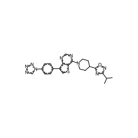 CC(C)c1noc(C2CCN(c3ncnc4c(-c5ccc(-n6cnnn6)cc5)csc34)CC2)n1